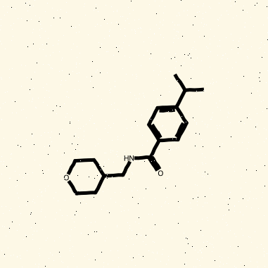 CC(C)c1ccc(C(=O)NCC2CCOCC2)cc1